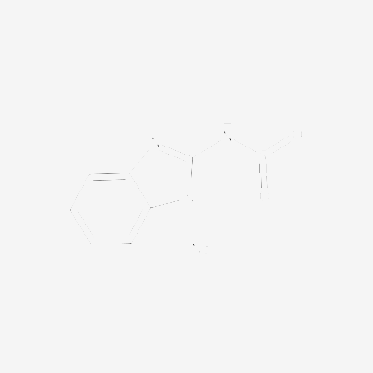 O=[SH](=O)Nc1nc2ccccc2s1.[Na]